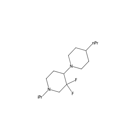 CCCC1CCN(C2CCN(C(C)C)CC2(F)F)CC1